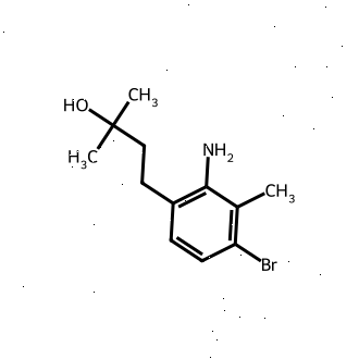 Cc1c(Br)ccc(CCC(C)(C)O)c1N